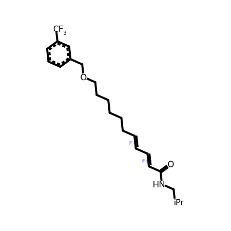 CC(C)CNC(=O)/C=C/C=C/CCCCCCOCc1cccc(C(F)(F)F)c1